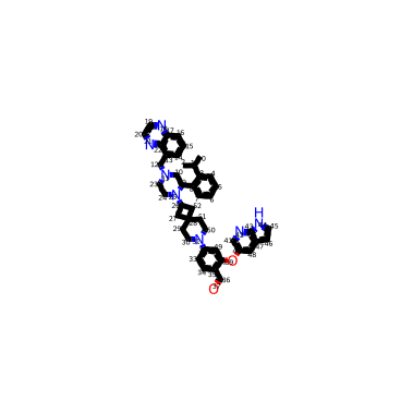 CC(C)c1ccccc1C1CN(Cc2cccc3nccnc23)CCN1C1CC2(CCN(c3ccc(C=O)c(Oc4cnc5[nH]ccc5c4)c3)CC2)C1